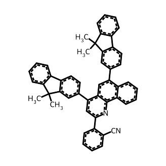 CC1(C)c2ccccc2-c2ccc(-c3cc4c(-c5ccc6c(c5)C(C)(C)c5ccccc5-6)cc(-c5ccccc5C#N)nc4c4ccccc34)cc21